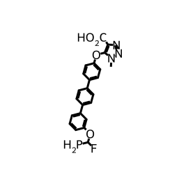 Cn1nnc(C(=O)O)c1Oc1ccc(-c2ccc(-c3cccc(OC(F)P)c3)cc2)cc1